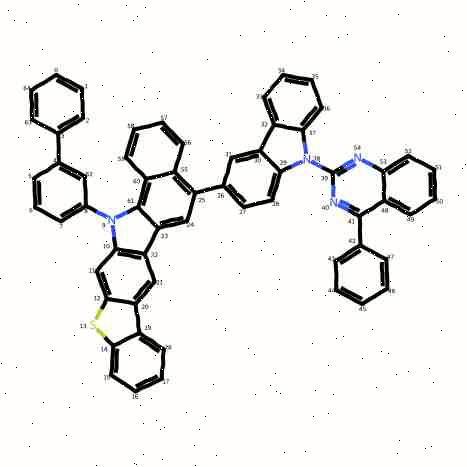 c1ccc(-c2cccc(-n3c4cc5sc6ccccc6c5cc4c4cc(-c5ccc6c(c5)c5ccccc5n6-c5nc(-c6ccccc6)c6ccccc6n5)c5ccccc5c43)c2)cc1